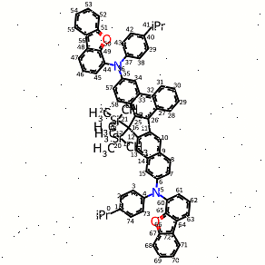 CC(C)c1ccc(N(c2ccc3cc4c(cc3c2)C([Si](C)(C)C)([Si](C)(C)C)c2c-4c3ccccc3c3cc(N(c4ccc(C(C)C)cc4)c4cccc5c4oc4ccccc45)ccc23)c2cccc3c2oc2ccccc23)cc1